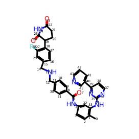 Cc1ccc(NC(=O)c2ccc(CNCc3ccc(C4CCC(=O)NC4=O)c(F)c3)cc2)cc1Nc1nccc(-c2cccnc2)n1